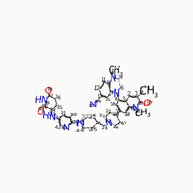 Cc1cc2c(N3CCN(C)c4ccc(C#N)cc43)cc(C3CCN(CC4CCN(c5ccc(NC6CCC(=O)NC6=O)cn5)CC4)CC3)cc2n(C)c1=O